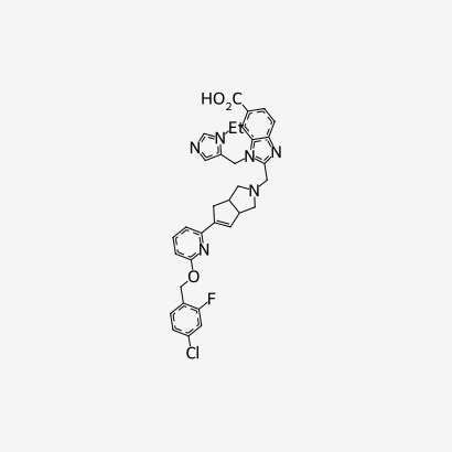 CCn1cncc1Cn1c(CN2CC3C=C(c4cccc(OCc5ccc(Cl)cc5F)n4)CC3C2)nc2ccc(C(=O)O)cc21